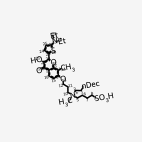 CCCCCCCCCCCC[N+](C)(CCCCS(=O)(=O)O)CCCOc1ccc2c(=O)c(O)c(-c3ccc(N(CC)CC)s3)oc2c1C